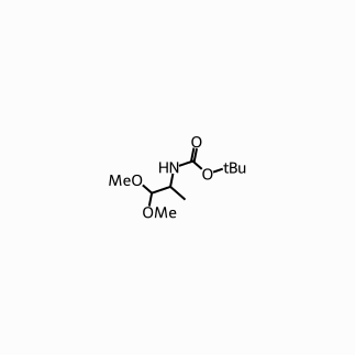 COC(OC)C(C)NC(=O)OC(C)(C)C